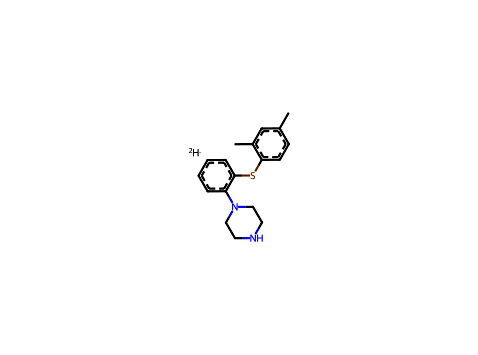 Cc1ccc(Sc2ccccc2N2CCNCC2)c(C)c1.[2H]